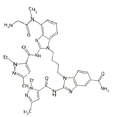 CCn1nc(C)cc1C(=O)Nc1nc2cc(C(N)=O)ccc2n1CCCCn1c(NC(=O)c2cc(C)nn2CC)nc2c(N(C)C(=O)CN)cccc21